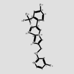 Fc1ccnc(OCc2cn3cc(-c4ccc(F)cc4C(F)(F)F)cnc3n2)c1